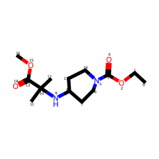 CCOC(=O)N1CCC(NC(C)(C)C(=O)OC)CC1